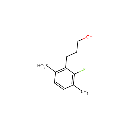 Cc1ccc(S(=O)(=O)O)c(CCCO)c1F